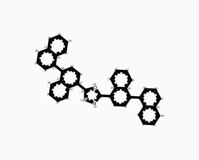 c1ccc2c(-c3ccc(-c4nnc(-c5ccc(-c6cccc7ccccc67)c6ccccc56)o4)c4ccccc34)cccc2c1